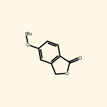 CC(C)(C)Oc1ccc2c(c1)COC2=O